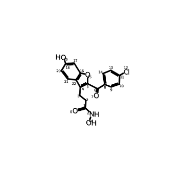 O=C(CCc1c(C(=O)c2ccc(Cl)cc2)oc2cc(O)ccc12)NO